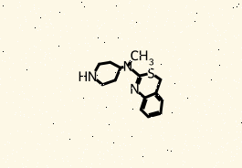 CN(C1=Nc2ccccc2CS1)C1CCNCC1